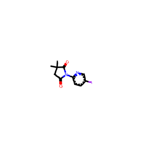 CC1(C)CC(=O)N(c2ccc(I)cn2)C1=O